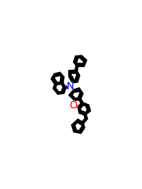 C1=C2c3ccc(Cc4ccccc4)cc3OC2CC(N(C2=CCCc3ccccc32)c2ccc(-c3ccccc3)cc2)=C1